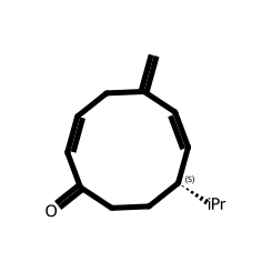 C=C1C=C[C@H](C(C)C)CCC(=O)C=CC1